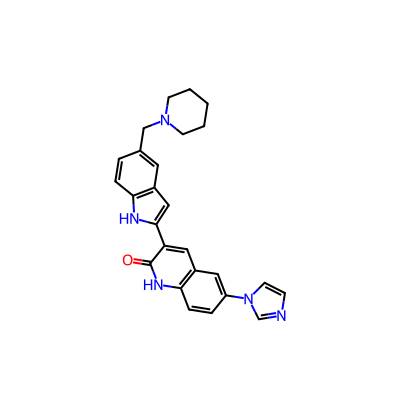 O=c1[nH]c2ccc(-n3ccnc3)cc2cc1-c1cc2cc(CN3CCCCC3)ccc2[nH]1